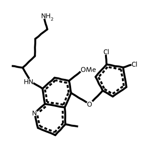 COc1cc(NC(C)CCCN)c2nccc(C)c2c1Oc1ccc(Cl)c(Cl)c1